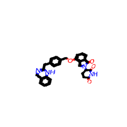 O=C1CCC(N2Cc3c(OCc4ccc(CC5=NCc6ccccc6N5)cc4)cccc3C2=O)C(=O)N1